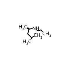 C=C(CC(C)C)NCCC